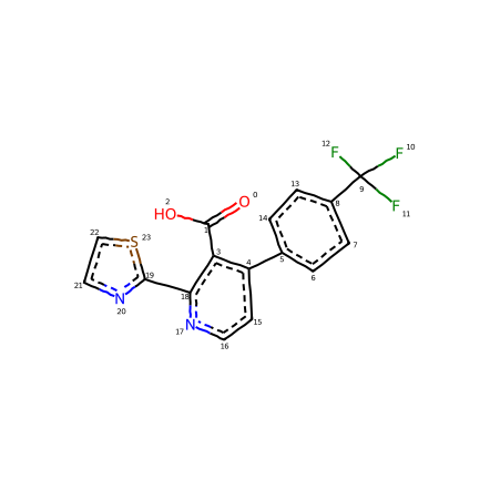 O=C(O)c1c(-c2ccc(C(F)(F)F)cc2)ccnc1-c1nccs1